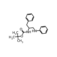 CC(C)(C)OC(=O)NC(CNc1ccccc1)Cc1ccccc1